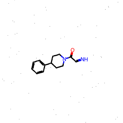 N=CC(=O)N1CCC(c2ccccc2)CC1